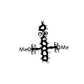 CCC(C#Cc1c2cc3ccccc3cc2c(C#CC(CC)(CC)OC)c2cc3sc(S(=O)(=O)c4ccc(C)cc4)cc3cc12)(CC)OC